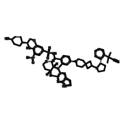 CC(C)(C#N)c1ccccc1[C@@H]1CCCN1C1CC2(CCN(c3ccc(C(=O)NS(=O)(=O)c4cc5c(c([N+](=O)[O-])c4)N[C@@H](C4CCC(O)CC4)CO5)c(N4c5cc6cc[nH]c6nc5O[C@@H]5CCOC[C@@H]54)c3)CC2)C1